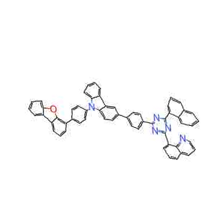 c1ccc2c(-c3nc(-c4ccc(-c5ccc6c(c5)c5ccccc5n6-c5ccc(-c6cccc7c6oc6ccccc67)cc5)cc4)nc(-c4cccc5cccnc45)n3)cccc2c1